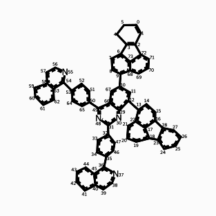 C1=CC2=C(CC1)c1ccc(-c3cc(-c4ccc5c6c(cccc46)-c4ccccc4-5)c4nc(-c5ccc(-c6nccc7ccccc67)cc5)nc(-c5ccc(-c6nccc7ccccc67)cc5)c4c3)c3cccc2c13